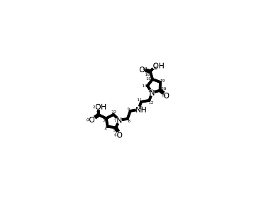 O=C(O)C1CC(=O)N(CCNCCN2CC(C(=O)O)CC2=O)C1